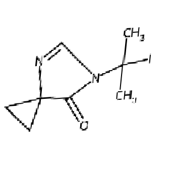 CC(C)(I)N1C=NC2(CC2)C1=O